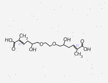 C/C(=C\CC(O)COCCOCC(O)C/C=C(\C)C(=O)O)C(=O)O